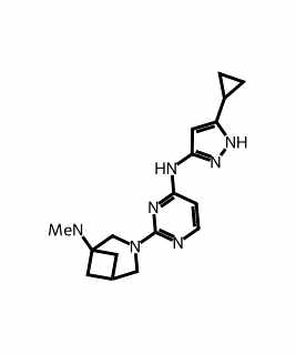 CNC12CC(CN(c3nccc(Nc4cc(C5CC5)[nH]n4)n3)C1)C2